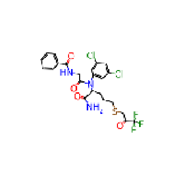 NC(=O)[C@H](CCCSCC(=O)C(F)(F)F)N(C(=O)CNC(=O)c1ccccc1)c1cc(Cl)cc(Cl)c1